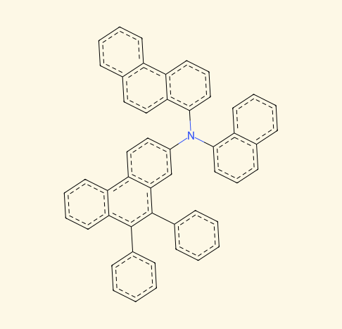 c1ccc(-c2c(-c3ccccc3)c3cc(N(c4cccc5ccccc45)c4cccc5c4ccc4ccccc45)ccc3c3ccccc23)cc1